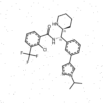 CC(C)n1cc(-c2cccc([C@H](NC(=O)c3cccc(C(F)(F)F)c3Cl)[C@@H]3CCCCN3)c2)cn1